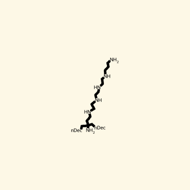 CCCCCCCCCCCC(N)(CCCCCCCCCCC)CCNCCNCCNCCNCCCN